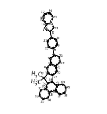 CC1(C)c2cc3cc(-c4ccc(-c5cn6cccnc6n5)cc4)ccc3cc2-c2c1c1ccccc1c1ccccc21